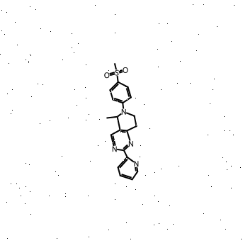 CC1c2cnc(-c3ccccn3)nc2CCN1c1ccc(S(C)(=O)=O)cc1